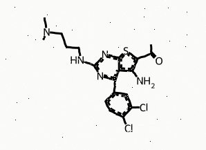 CC(=O)c1sc2nc(NCCCN(C)C)nc(-c3ccc(Cl)c(Cl)c3)c2c1N